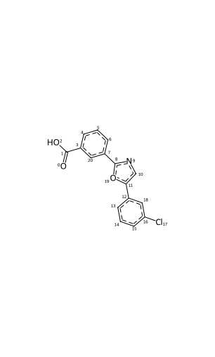 O=C(O)c1cccc(-c2ncc(-c3cccc(Cl)c3)o2)c1